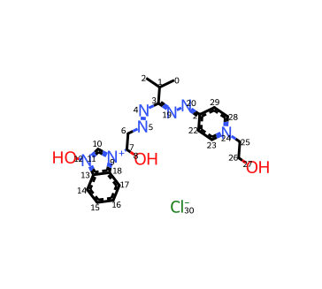 CC(C)C(N=NCC(O)[n+]1cn(O)c2ccccc21)=NN=c1ccn(CCO)cc1.[Cl-]